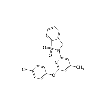 Cc1cc(Oc2ccc(Cl)cc2)nc(N2Cc3ccccc3S2(=O)=O)c1